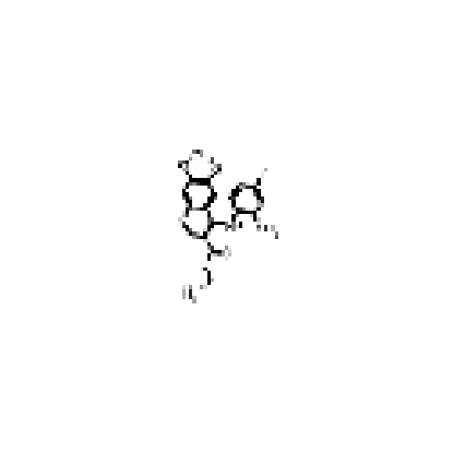 CCOC(=O)c1cnc2cc(OC)c(Br)cc2c1Nc1ccc(Cl)cc1C